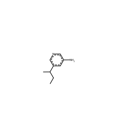 CCC(C)c1cncc(N)c1